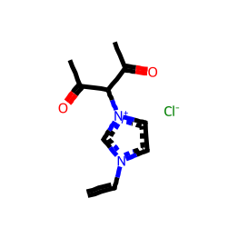 C=Cn1cc[n+](C(C(C)=O)C(C)=O)c1.[Cl-]